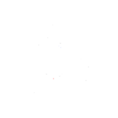 CCC(O)c1cc(Cl)c(=O)n(CC)c1-c1c(F)cccc1F